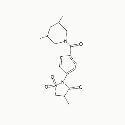 CC1CC(C)CN(C(=O)c2ccc(N3C(=O)C(C)CS3(=O)=O)cc2)C1